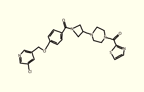 O=C(c1ccc(OCc2cncc(Cl)c2)cc1)N1CC(N2CCN(C(=O)c3nccs3)CC2)C1